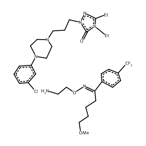 CCc1nn(CCCN2CCN(c3cccc(Cl)c3)CC2)c(=O)n1CC.COCCCC/C(=N\OCCN)c1ccc(C(F)(F)F)cc1